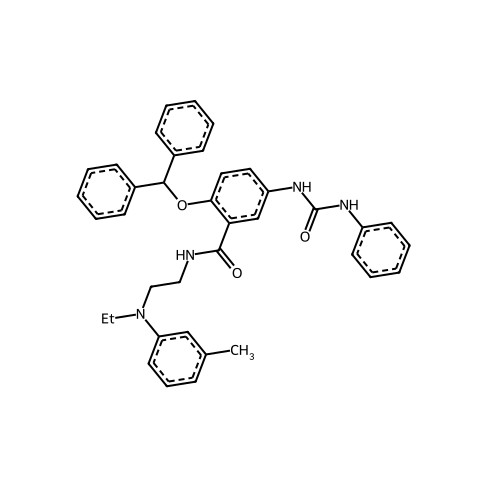 CCN(CCNC(=O)c1cc(NC(=O)Nc2ccccc2)ccc1OC(c1ccccc1)c1ccccc1)c1cccc(C)c1